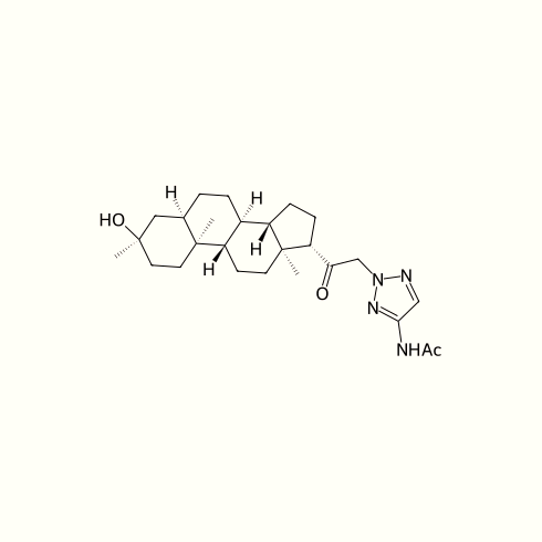 CC(=O)Nc1cnn(CC(=O)[C@H]2CC[C@H]3[C@@H]4CC[C@@H]5C[C@](C)(O)CC[C@]5(C)[C@H]4CC[C@]23C)n1